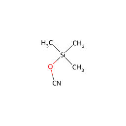 C[Si](C)(C)OC#N